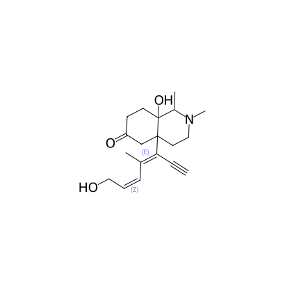 C#C/C(=C(C)\C=C/CO)C12CCN(C)C(C)C1(O)CCC(=O)C2